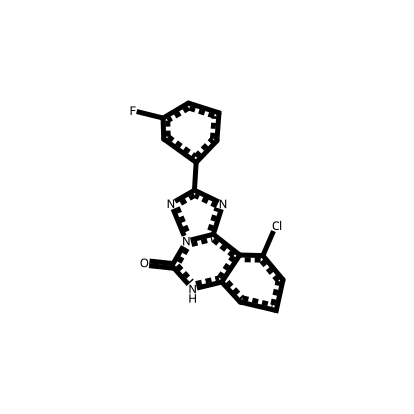 O=c1[nH]c2cccc(Cl)c2c2nc(-c3cccc(F)c3)nn12